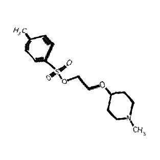 Cc1ccc(S(=O)(=O)OCCOC2CCN(C)CC2)cc1